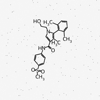 Cc1cccc(C)c1-c1c(C)c(C(=O)Nc2ccc(S(C)(=O)=O)cc2)cn1CCO